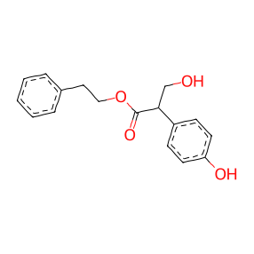 O=C(OCCc1ccccc1)C(CO)c1ccc(O)cc1